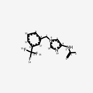 C=C(C)Nc1cn(Cc2cccc(C(F)(F)F)c2)cn1